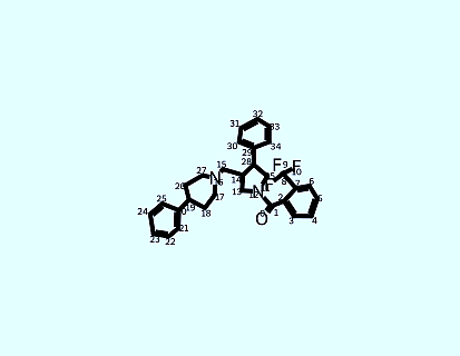 O=C(c1ccccc1C(F)(F)F)N1CC(CN2CCC(c3ccccc3)CC2)C(c2ccccc2)C1